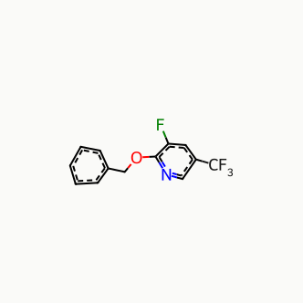 Fc1cc(C(F)(F)F)cnc1OCc1ccccc1